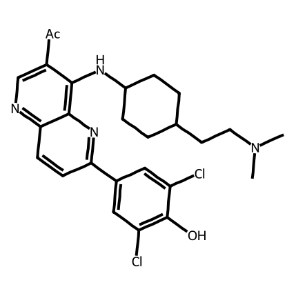 CC(=O)c1cnc2ccc(-c3cc(Cl)c(O)c(Cl)c3)nc2c1NC1CCC(CCN(C)C)CC1